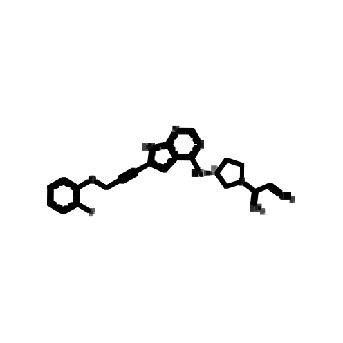 C=CC(=C)N1CC[C@@H](Nc2ncnc3[nH]c(C#CCOc4ccccc4F)cc23)C1